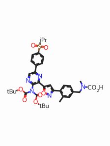 Cc1cc(CN(C)C(=O)O)ccc1-c1cc(-c2nc(-c3ccc(S(=O)(=O)C(C)C)cc3)cnc2N(C(=O)OC(C)(C)C)C(=O)OC(C)(C)C)on1